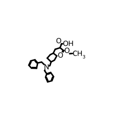 CCOC(=O)C(CC1CCC(CN(Cc2ccccc2)Cc2ccccc2)CC1)C(=O)O